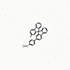 Cc1ccc2c(c1)C1(c3ccccc3-2)c2ccccc2-c2ccc(-c3ccc(C=O)cc3)cc21